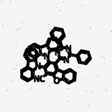 N#Cc1c(-n2c3ccccc3c3ccccc32)c(-n2c3ccccc3c3ccccc32)c(-c2nc(-c3ccccc3)nc(-c3ccccc3)n2)c2c1oc1ccccc12